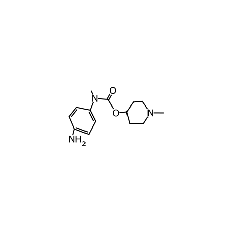 CN1CCC(OC(=O)N(C)c2ccc(N)cc2)CC1